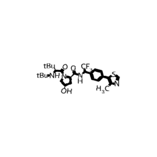 Cc1ncsc1-c1ccc(C(NC(=O)[C@H]2C[C@H](O)CN2C(=O)[C@H](NC(C)(C)C)C(C)(C)C)C(F)(F)F)cc1